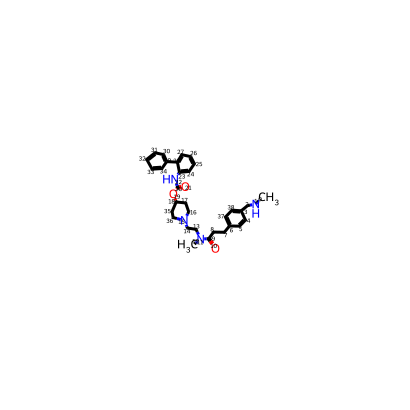 CNCc1ccc(CCC(=O)N(C)CCN2CCC(OC(=O)Nc3ccccc3-c3ccccc3)CC2)cc1